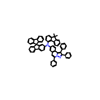 CC1(C)c2ccccc2-c2c(N(c3ccc4c(c3)C3(c5ccccc5-c5ccccc53)c3ccccc3-4)c3ccc4c(c3)cc(-c3ccccc3)n3nc(-c5ccccc5)c(-c5ccccc5)c43)cccc21